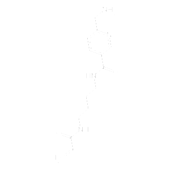 C=CC(=O)NCCCCNC(=O)c1ccc(CN)nc1